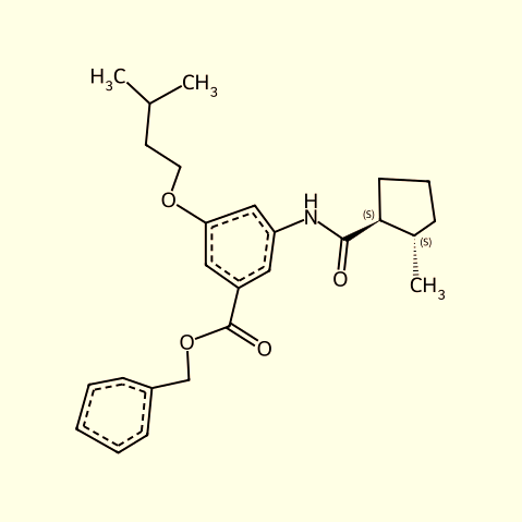 CC(C)CCOc1cc(NC(=O)[C@H]2CCC[C@@H]2C)cc(C(=O)OCc2ccccc2)c1